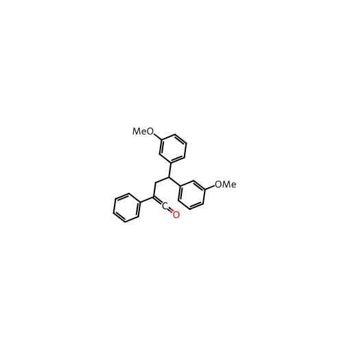 COc1cccc(C(CC(=C=O)c2ccccc2)c2cccc(OC)c2)c1